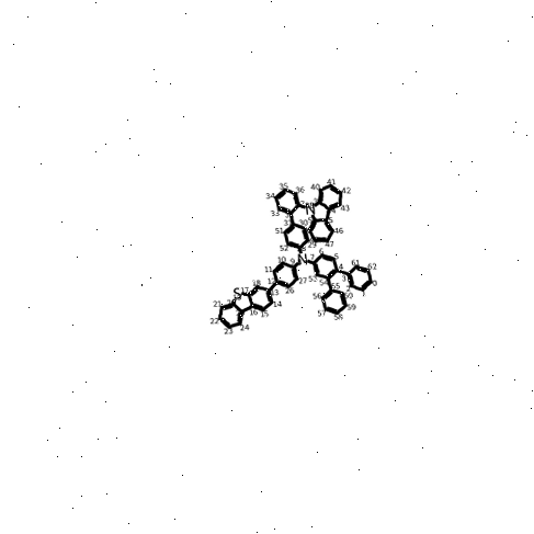 c1ccc(-c2ccc(N(c3ccc(-c4ccc5c(c4)sc4ccccc45)cc3)c3ccc(-c4ccccc4-n4c5ccccc5c5ccccc54)cc3)cc2-c2ccccc2)cc1